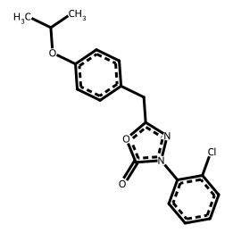 CC(C)Oc1ccc(Cc2nn(-c3ccccc3Cl)c(=O)o2)cc1